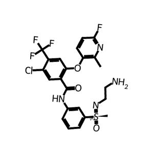 Cc1nc(F)ccc1Oc1cc(C(F)(F)F)c(Cl)cc1C(=O)Nc1cccc([S@@](C)(=O)=NCCN)c1